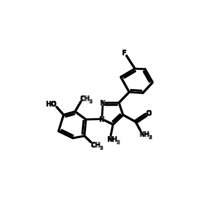 Cc1ccc(O)c(C)c1-n1nc(-c2cccc(F)c2)c(C(N)=O)c1N